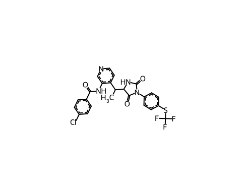 CC(c1ccncc1NC(=O)c1ccc(Cl)cc1)C1NC(=O)N(c2ccc(SC(F)(F)F)cc2)C1=O